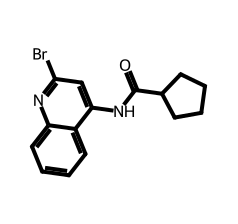 O=C(Nc1cc(Br)nc2ccccc12)C1CCCC1